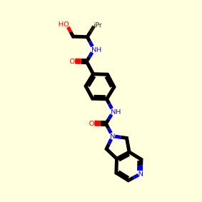 CC(C)C(CO)NC(=O)c1ccc(NC(=O)N2Cc3ccncc3C2)cc1